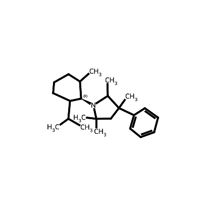 CC(C)C1CCCC(C)[C@H]1N1C(C)C(C)(c2ccccc2)CC1(C)C